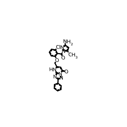 Cc1cc(N)nn1C(=O)c1c(Cl)cccc1OCc1cc(=O)n2nc(-c3ccccc3)nc2[nH]1